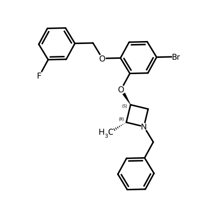 C[C@@H]1[C@@H](Oc2cc(Br)ccc2OCc2cccc(F)c2)CN1Cc1ccccc1